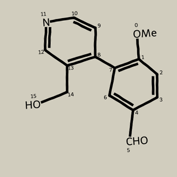 COc1ccc(C=O)cc1-c1ccncc1CO